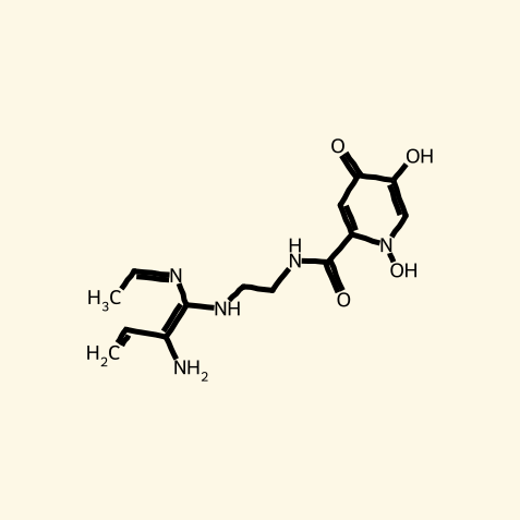 C=C/C(N)=C(\N=C/C)NCCNC(=O)c1cc(=O)c(O)cn1O